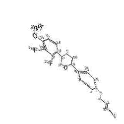 C/C=C/CCc1ccc(C2CCC(c3ccc(OCCC)c(F)c3F)CO2)cc1